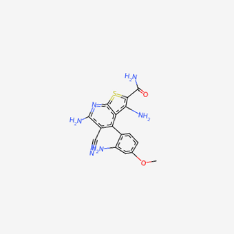 COc1ccc(-c2c(C#N)c(N)nc3sc(C(N)=O)c(N)c23)c(N)c1